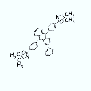 CC1(C)CN=C(c2ccc(-c3c4ccccc4c(-c4ccc(C5=NCC(C)(C)O5)cc4)c4cc(-c5ccccc5)ccc34)cc2)O1